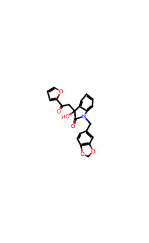 O=C(CC1(O)C(=O)N(Cc2ccc3c(c2)OCO3)c2ccccc21)c1ccco1